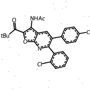 CC(=O)Nc1c(C(=O)C(C)(C)C)oc2nc(-c3ccccc3Cl)c(-c3ccc(Cl)cc3)cc12